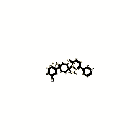 CC1(n2nc(-c3cccnc3)ccc2=O)CCC(N)(c2cccc(Cl)c2)CC1